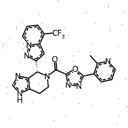 Cc1ncccc1-c1nnc(C(=O)N2CCc3[nH]cnc3[C@@H]2c2cc3c(C(F)(F)F)cccn3n2)o1